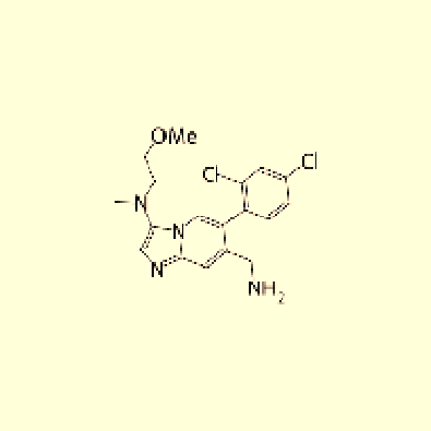 COCCN(C)c1cnc2cc(CN)c(-c3ccc(Cl)cc3Cl)cn12